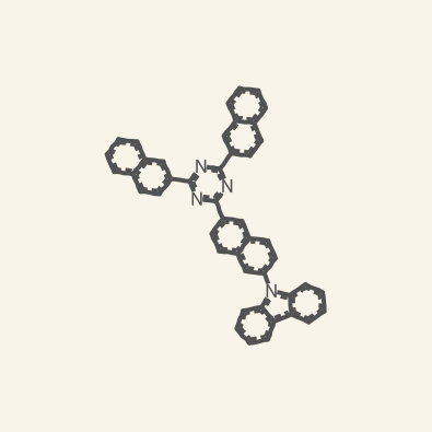 c1ccc2cc(-c3nc(-c4ccc5ccccc5c4)nc(-c4ccc5cc(-n6c7ccccc7c7ccccc76)ccc5c4)n3)ccc2c1